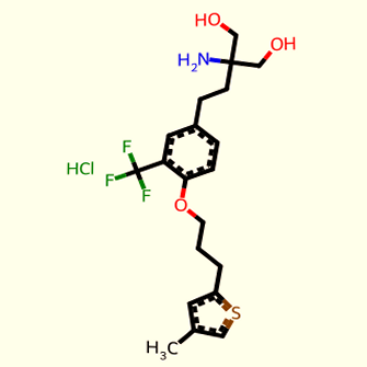 Cc1csc(CCCOc2ccc(CCC(N)(CO)CO)cc2C(F)(F)F)c1.Cl